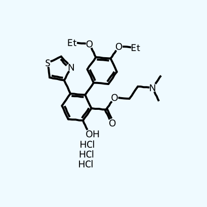 CCOc1ccc(-c2c(-c3cscn3)ccc(O)c2C(=O)OCCN(C)C)cc1OCC.Cl.Cl.Cl